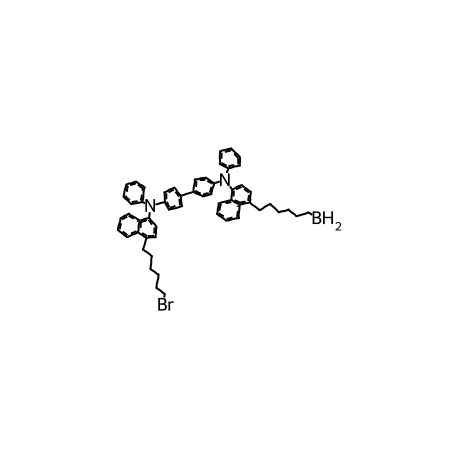 BCCCCCCc1ccc(N(c2ccccc2)c2ccc(-c3ccc(N(c4ccccc4)c4ccc(CCCCCCBr)c5ccccc45)cc3)cc2)c2ccccc12